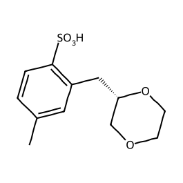 Cc1ccc(S(=O)(=O)O)c(C[C@H]2COCCO2)c1